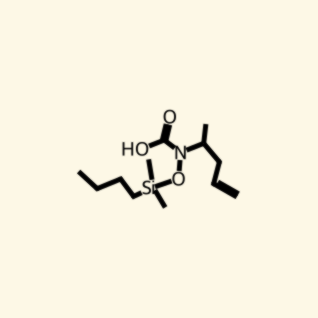 C=CCC(C)N(O[Si](C)(C)CCCC)C(=O)O